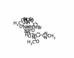 COCc1ccc(Br)nc1NC(=O)[C@@H]1C[C@@]2(CNC(=O)C(NC(=O)O)C(C)C)C[C@H]2N1C(=O)Cn1nc(C(C)=O)c2cc(-c3cnc(C)nc3)ccc21